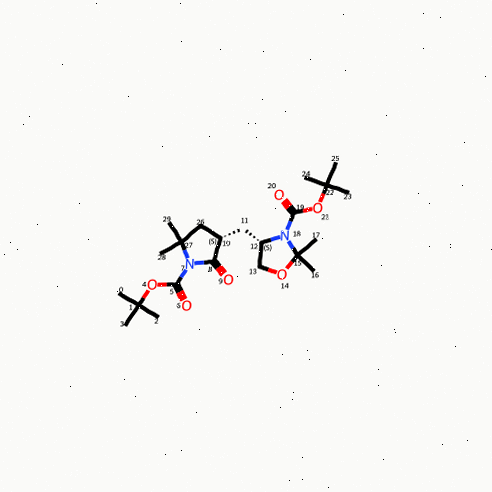 CC(C)(C)OC(=O)N1C(=O)[C@@H](C[C@H]2COC(C)(C)N2C(=O)OC(C)(C)C)CC1(C)C